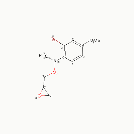 COc1ccc([C@@H](C)OCC2CO2)c(Br)c1